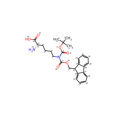 CC(C)(C)OC(=O)N(CCCC[C@H](N)C(=O)O)C(=O)OCC1c2ccccc2-c2ccccc21